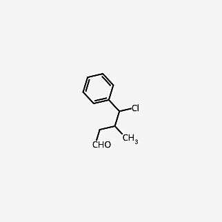 CC(CC=O)C(Cl)c1ccccc1